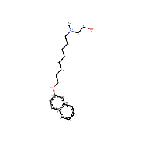 CCN(CCO)CCCCCCCCOc1ccc2ccccc2c1